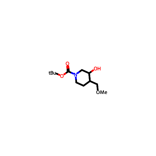 COCC1CCN(C(=O)OC(C)(C)C)CC1O